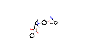 Cc1cc(C=C2SC(=O)N(c3ccccc3)C2=O)c(C)n1-c1ccc(OCc2ccccc2C#N)cc1